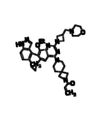 C=CC(=O)N1CC2(CCN(c3nc(N4CC(CN5CCOCC5)C4)nc4c(OCC)c(-c5c(C)ccc6[nH]ncc56)c(C5CC5)cc34)CC2)C1